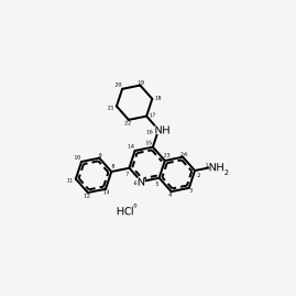 Cl.Nc1ccc2nc(-c3ccccc3)cc(NC3CCCCC3)c2c1